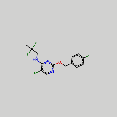 CC(F)(F)CNc1nc(OCc2ccc(F)cc2)ncc1F